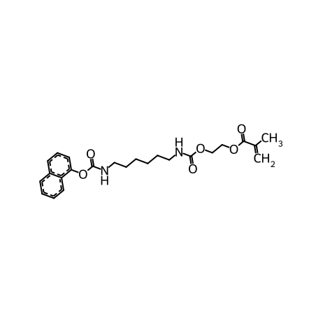 C=C(C)C(=O)OCCOC(=O)NCCCCCCNC(=O)Oc1cccc2ccccc12